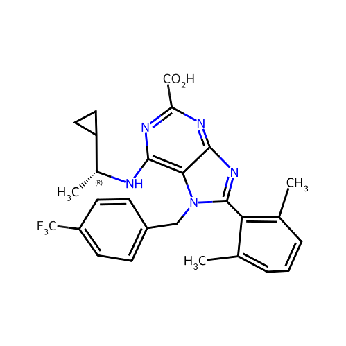 Cc1cccc(C)c1-c1nc2nc(C(=O)O)nc(N[C@H](C)C3CC3)c2n1Cc1ccc(C(F)(F)F)cc1